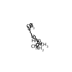 CCN(CCCCCN1CCC(CNC(=O)c2cc(Cl)c(N)cc2OC)CC1)Cc1cccs1